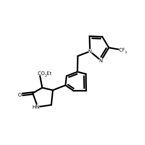 CCOC(=O)C1C(=O)NCC1c1cccc(Cn2ccc(C(F)(F)F)n2)c1